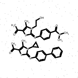 CC(=O)c1sc(=Nc2ccc(-c3ccccc3)cc2)n(C2CC2)c1C.CC(=O)c1sc(=Nc2ccc(C(=O)N(C)C)cc2)n(CCO)c1C